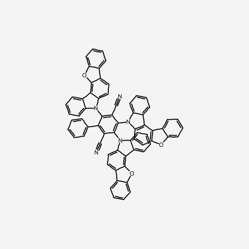 N#Cc1c(-c2ccccc2)c(-n2c3ccccc3c3c4oc5ccccc5c4ccc32)c(C#N)c(-n2c3ccccc3c3c4c(ccc32)oc2ccccc24)c1-n1c2ccccc2c2c3oc4ccccc4c3ccc21